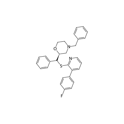 Fc1ccc(-c2cccnc2SC(c2ccccc2)[C@@H]2CN(Cc3ccccc3)CCO2)cc1